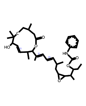 CCC(OC(=O)Nc1ccccc1)C(C)C1OC1CC(C)/C=C/C=C(\C)C1OC(=O)CC(C)CCC(C)(C)C(O)/C=C/C1C